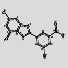 O=c1cc(Cl)cc2sc(-c3cc(Br)cc([N+](=O)[O-])c3)nn12